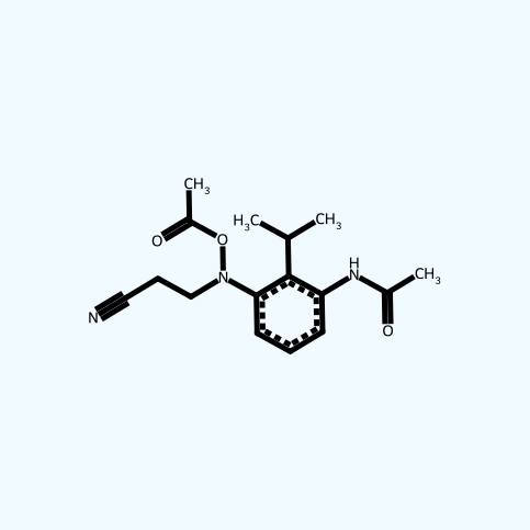 CC(=O)Nc1cccc(N(CCC#N)OC(C)=O)c1C(C)C